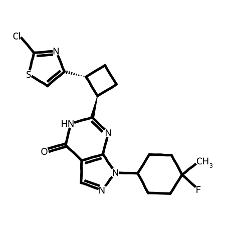 CC1(F)CCC(n2ncc3c(=O)[nH]c([C@@H]4CC[C@H]4c4csc(Cl)n4)nc32)CC1